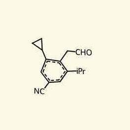 CC(C)c1cc(C#N)cc(C2CC2)c1CC=O